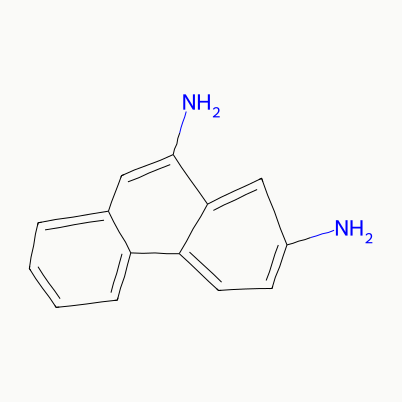 Nc1ccc2c(c1)c(N)cc1ccccc12